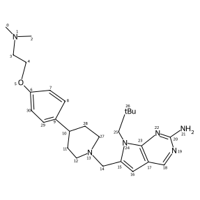 CN(C)CCOc1ccc(C2CCN(Cc3cc4cnc(N)nc4n3CC(C)(C)C)CC2)cc1